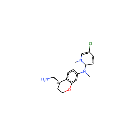 CN1C=C(Cl)C=CC1N(C)c1ccc2c(c1)OCC[C@H]2CN